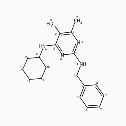 Cc1nc(NCc2ccccc2)nc(NC2CCCCC2)c1C